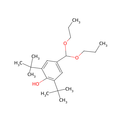 CCCOC(OCCC)c1cc(C(C)(C)C)c(O)c(C(C)(C)C)c1